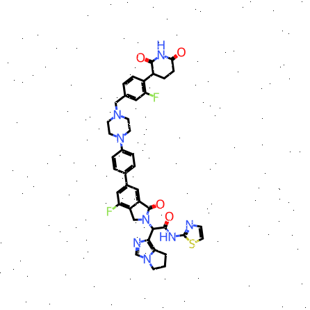 O=C1CCC(c2ccc(CN3CCN(c4ccc(-c5cc(F)c6c(c5)C(=O)N(C(C(=O)Nc5nccs5)c5ncn7c5CCC7)C6)cc4)CC3)cc2F)C(=O)N1